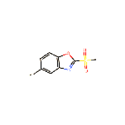 CC(C)c1ccc2oc(S(C)(=O)=O)nc2c1